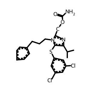 CC(C)c1nc(COC(N)=O)n(CCCc2ccccc2)c1Sc1cc(Cl)cc(Cl)c1